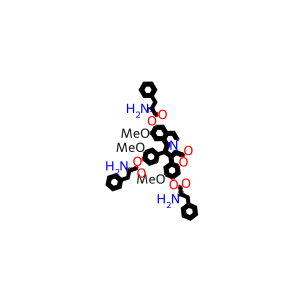 COc1cc(-c2c3c4cc(OC)c(OC(=O)[C@@H](N)Cc5ccccc5)cc4oc(=O)c3n3ccc4cc(OC(=O)[C@@H](N)Cc5ccccc5)c(OC)cc4c23)ccc1OC(=O)[C@@H](N)Cc1ccccc1